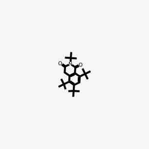 CC(C)(C)c1cc(C(C)(C)C)c(C(C)(C)C)c2c1C(=O)N(C(C)(C)C)C(=O)C2